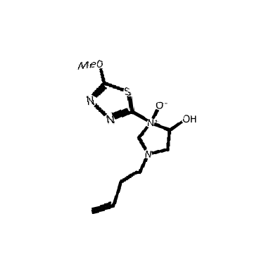 C=CCCN1CC(O)[N+]([O-])(c2nnc(OC)s2)C1